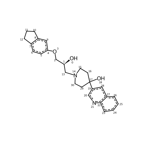 O[C@H](COc1ccc2c(c1)CCC2)CN1CCC(O)(c2cnc3ccccc3c2)CC1